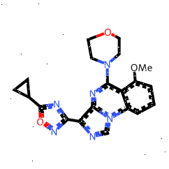 COc1cccc2c1c(N1CCOCC1)nc1c(-c3noc(C4CC4)n3)ncn12